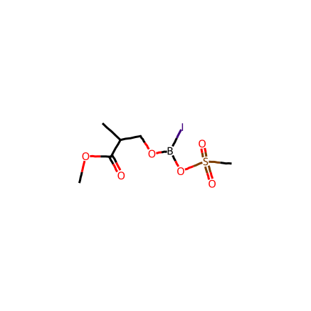 COC(=O)C(C)COB(I)OS(C)(=O)=O